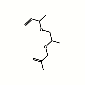 C=CC(C)OCC(C)OCC(=C)C